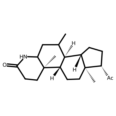 CC(=O)[C@H]1CC[C@H]2[C@@H]3C(C)CC4NC(=O)CC[C@]4(C)[C@H]3CC[C@]12C